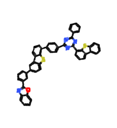 c1ccc(-c2nc(-c3ccc(-c4cccc5c4sc4ccc(-c6cccc(-c7nc8ccccc8o7)c6)cc45)cc3)nc(-c3cccc4c3sc3ccccc34)n2)cc1